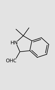 CC1(C)NC(C=O)c2ccccc21